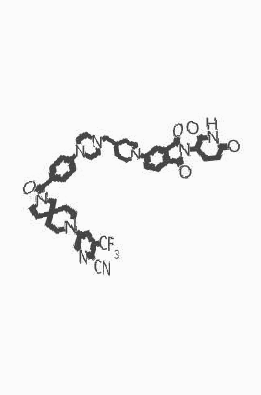 N#Cc1ncc(N2CCC3(CCN(C(=O)c4ccc(N5CCN(CC6CCN(c7ccc8c(c7)C(=O)N(C7CCC(=O)NC7=O)C8=O)CC6)CC5)cc4)C3)CC2)cc1C(F)(F)F